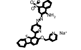 Nc1c(N=Nc2ccc(-c3c(OCc4cccnc4)ccc4c3sc3ccccc34)nc2)cc(S(=O)(=O)[O-])c2ccccc12.[Na+]